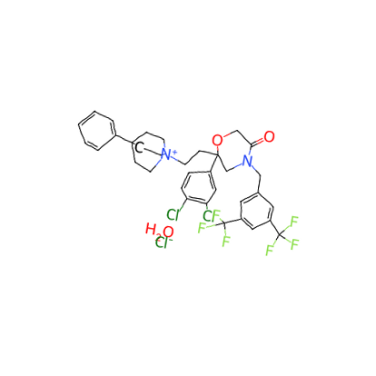 O.O=C1COC(CC[N+]23CCC(c4ccccc4)(CC2)CC3)(c2ccc(Cl)c(Cl)c2)CN1Cc1cc(C(F)(F)F)cc(C(F)(F)F)c1.[Cl-]